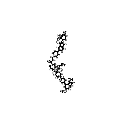 CCOc1cc(-c2ccc(N3CCC(CN4CCN(C(=O)CCN5CCC(c6ccc7c(c6)C(=O)N(C6CCC(=O)NC6=O)C7)CC5)CC4)(NC(=O)CC(C)C)CC3)nc2)c2c(C#N)cnn2c1